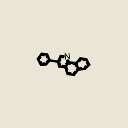 c1ccc(-c2cnc3c(ccc4ccccc43)c2)cc1